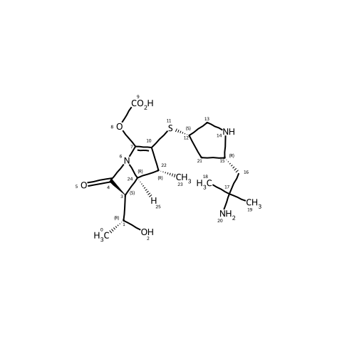 C[C@@H](O)[C@H]1C(=O)N2C(OC(=O)O)=C(S[C@@H]3CN[C@H](CC(C)(C)N)C3)[C@H](C)[C@@H]12